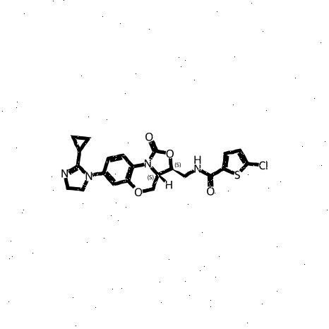 O=C(NC[C@@H]1OC(=O)N2c3ccc(N4CCN=C4C4CC4)cc3OC[C@@H]12)c1ccc(Cl)s1